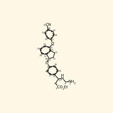 CCOC(=O)CC(NCN)c1ccc(O[C@@H]2CCc3c(Oc4ccc(C#N)cc4)cccc32)cc1